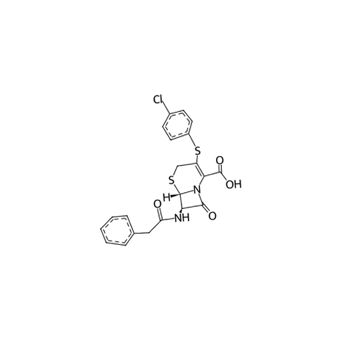 O=C(Cc1ccccc1)N[C@@H]1C(=O)N2C(C(=O)O)=C(Sc3ccc(Cl)cc3)CS[C@@H]12